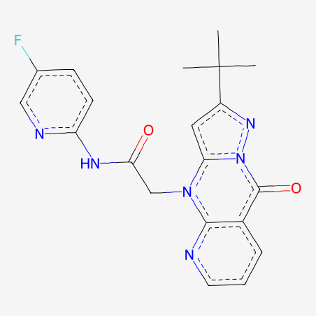 CC(C)(C)c1cc2n(CC(=O)Nc3ccc(F)cn3)c3ncccc3c(=O)n2n1